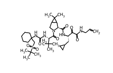 C=CCNC(=O)C(=O)[C@H](CC1CC1)NC(=O)[C@@H]1C2C(CN1C(=O)[C@@H](NC(=O)NC1(CS(=O)(=O)C(C)(C)C)CCCCC1)C(C)(C)C)C2(C)C